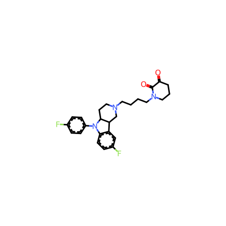 O=C1CCCN(CCCCN2CCC3C(C2)c2cc(F)ccc2N3c2ccc(F)cc2)C1=O